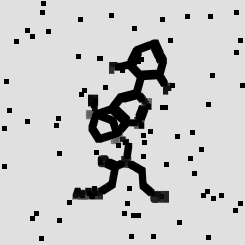 CC(=O)NCC(=O)N(CCO)C[C@]12CC[C@H](C1)c1cc(-c3c(F)cccc3F)nnc12